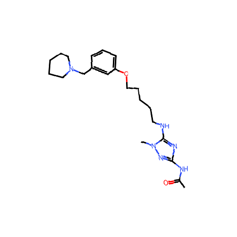 CC(=O)Nc1nc(NCCCCCOc2cccc(CN3CCCCC3)c2)n(C)n1